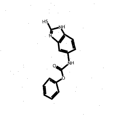 O=C(Nc1ccc2[nH]c(S)nc2c1)Oc1ccccc1